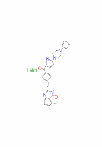 Cc1cccc2nc(CCc3ccc(C(=O)c4ccc(N5CCN(c6ccccc6)CC5)nc4)cc3)n(C)c(=O)c12.Cl.Cl